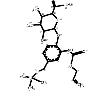 C=CCOC(=O)Nc1cc(CO[Si](C)(C)C(C)(C)C)ccc1OC1OC(C(=O)OC)C(OC(C)=O)C(OC(C)=O)C1OC(C)=O